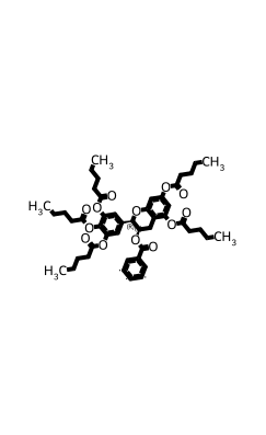 CCCCC(=O)Oc1cc(OC(=O)CCCC)c2c(c1)O[C@H](c1cc(OC(=O)CCCC)c(OC(=O)CCCC)c(OC(=O)CCCC)c1)[C@H](OC(=O)c1c[c][c][c]c1)C2